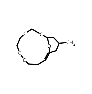 CC1C/C2=C/CCCCCCCCCC(C1)O2